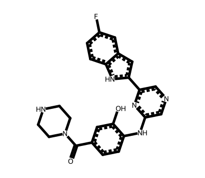 O=C(c1ccc(Nc2cncc(-c3cc4cc(F)ccc4[nH]3)n2)c(O)c1)N1CCNCC1